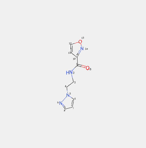 O=C(NCCn1cccn1)c1ccon1